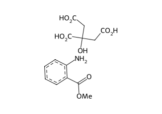 COC(=O)c1ccccc1N.O=C(O)CC(O)(CC(=O)O)C(=O)O